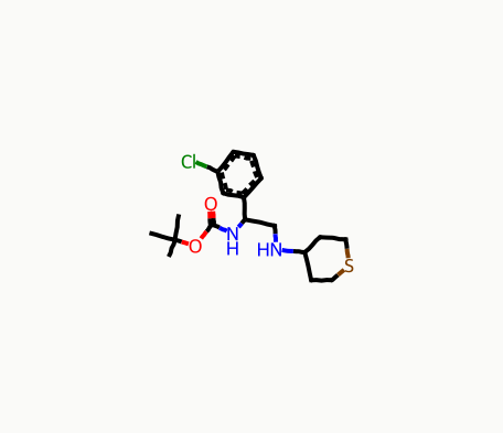 CC(C)(C)OC(=O)NC(CNC1CCSCC1)c1cccc(Cl)c1